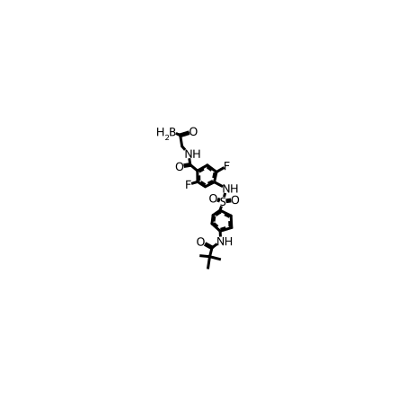 BC(=O)CNC(=O)c1cc(F)c(NS(=O)(=O)c2ccc(NC(=O)C(C)(C)C)cc2)cc1F